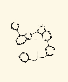 c1ccc(CNCc2cncc(-c3ccc4[nH]nc(-c5nc6c(-c7ccoc7)cccc6[nH]5)c4n3)c2)cc1